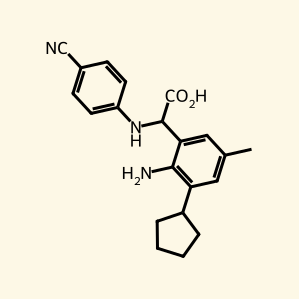 Cc1cc(C2CCCC2)c(N)c(C(Nc2ccc(C#N)cc2)C(=O)O)c1